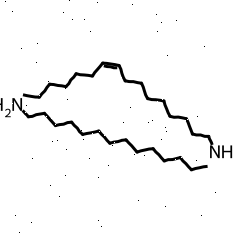 CCCCCC/C=C\CCCCCCCCN.CCCCCCCCCCCCCCN